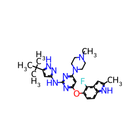 Cc1cc2c(F)c(Oc3cc(N4CCN(C)CC4)nc(Nc4cc(C(C)(C)C)[nH]n4)n3)ccc2[nH]1